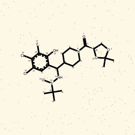 CC1(C)OC[C@H](C(=O)N2CCC(C(N[S+]([O-])C(C)(C)C)c3cc(Cl)c(Cl)c(F)c3O)CC2)O1